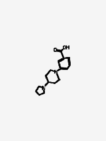 O=C(O)c1cccc(N2CCC(N3CCCC3)CC2)c1